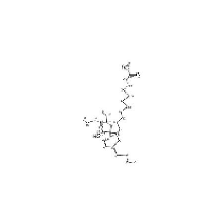 CCCCC(CC)CC(CCCCCCCCCCC(=O)O)C(C)(CC(CC)CCCC)C(=O)O